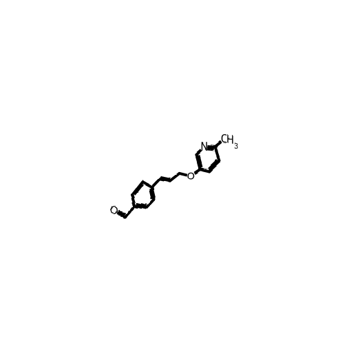 Cc1ccc(OCC=Cc2ccc(C=O)cc2)cn1